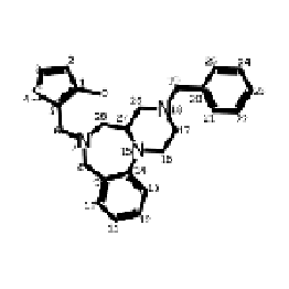 Cc1ccsc1CN1Cc2ccccc2N2CCN(Cc3ccccc3)CC2C1